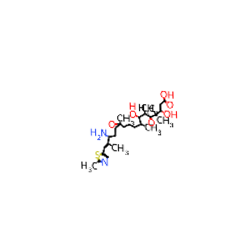 C/C(=C\c1cnc(C)s1)C(N)CC1OC1(C)CCCC(C)C(O)C(C)C(=O)C(C)(C)C(O)CC(=O)O